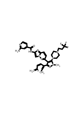 C=C(F)/C=C\C(=C/C)c1nn(C)c(N2CCN(CCC(F)(F)F)CC2)c1-c1ccc2nc(NC(=O)c3ccnc(N)c3)cn2n1